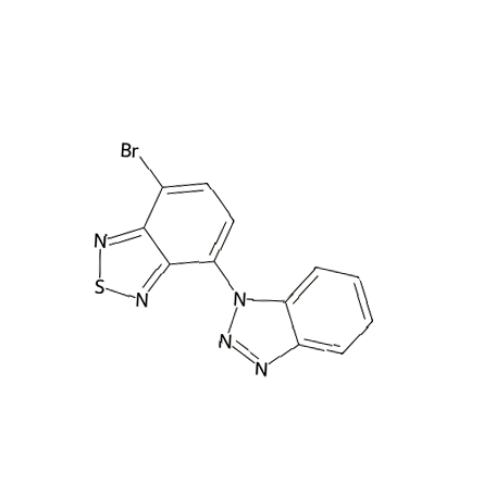 Brc1ccc(-n2nnc3ccccc32)c2nsnc12